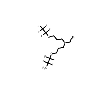 CC(C)CP(CCCOC(F)(F)C(F)(F)C(F)(F)F)CCCOC(F)(F)C(F)(F)C(F)(F)F